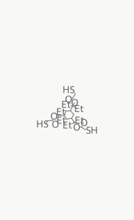 CCC(CC)(OC(=O)CS)C1CC(C(CC)(CC)OC(=O)CS)CC(C(CC)(CC)OC(=O)CS)C1